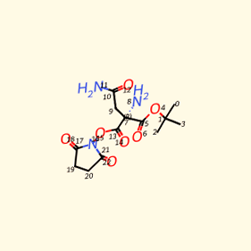 CC(C)(C)OC(=O)[C@](N)(CC(N)=O)C(=O)ON1C(=O)CCC1=O